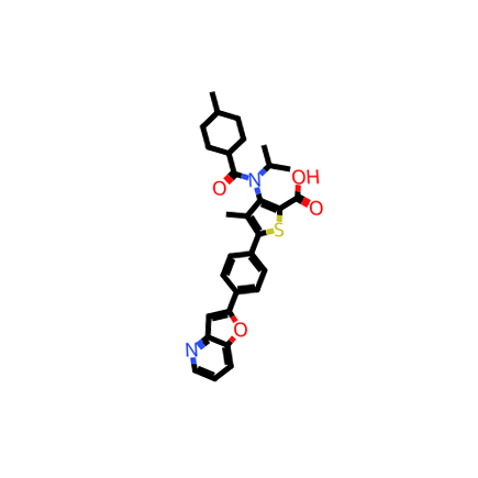 Cc1c(-c2ccc(-c3cc4ncccc4o3)cc2)sc(C(=O)O)c1N(C(=O)C1CCC(C)CC1)C(C)C